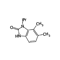 Cc1ccc2[nH]c(=O)n(C(C)C)c2c1C